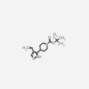 C=Cc1cn[nH]c1C1CCN(C(=O)OC(C)(C)C)CC1